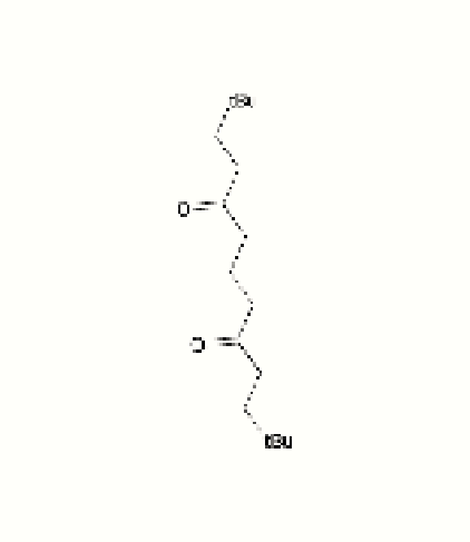 CC(C)(C)CCC(=O)CCCC(=O)CCC(C)(C)C